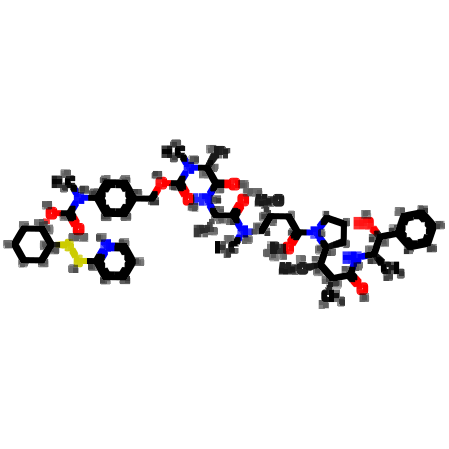 CC[C@H](C)[C@@H]([C@@H](CC(=O)N1CCC[C@H]1[C@H](OC)[C@@H](C)C(=O)N[C@H](C)[C@@H](O)c1ccccc1)OC)N(C)C(=O)[C@@H](NC(=O)[C@H](C(C)C)N(C)C(=O)OCc1ccc(N(C)C(=O)O[C@H]2CCCC[C@@H]2SSc2ccccn2)cc1)C(C)C